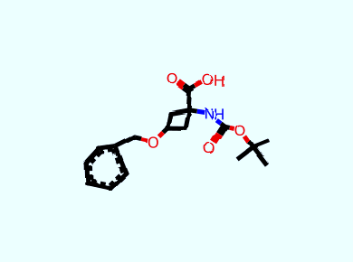 CC(C)(C)OC(=O)NC1(C(=O)O)CC(OCc2ccccc2)C1